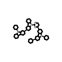 c1ccc(-c2ccc3c(c2)c2cc(-c4ccnc(-n5c6ccccc6c6cc(-c7ccc8c9ccccc9n(-c9ccccc9)c8c7)ccc65)n4)ccc2n3-c2ccccc2)cc1